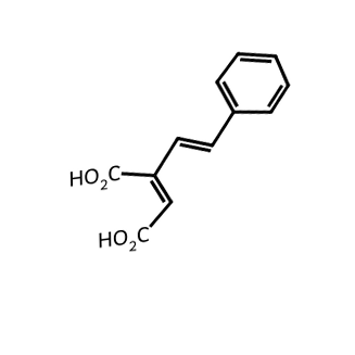 O=C(O)C=C(C=Cc1ccccc1)C(=O)O